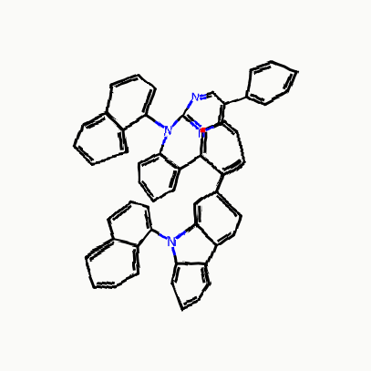 c1ccc(-c2cnc(N(c3ccccc3-c3ccccc3-c3ccc4c5ccccc5n(-c5cccc6ccccc56)c4c3)c3cccc4ccccc34)nc2)cc1